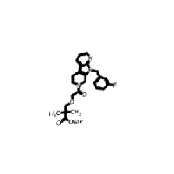 COC(=O)C(C)(C)COCC(=O)N1CCc2c(n(Cc3cccc(F)c3)c3ncccc23)C1